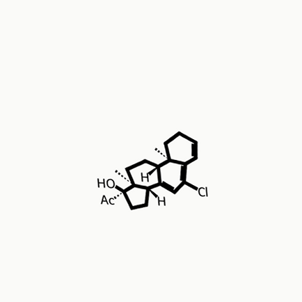 CC(=O)[C@@]1(O)CC[C@H]2C3=CC(Cl)=C4C=CCC[C@]4(C)[C@H]3CC[C@@]21C